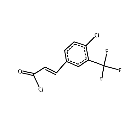 O=C(Cl)/C=C/c1ccc(Cl)c(C(F)(F)F)c1